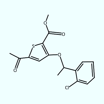 COC(=O)c1sc(C(C)=O)cc1OC(C)c1ccccc1Cl